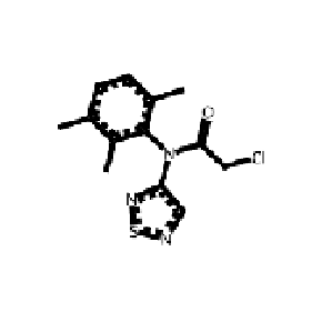 Cc1ccc(C)c(N(C(=O)CCl)c2cnsn2)c1C